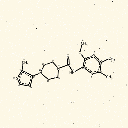 COc1nc(C)c(C)nc1NC(=S)N1CCN(c2ccsc2C)CC1